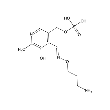 Cc1ncc(COP(=O)(O)O)c(/C=N/OCCCN)c1O